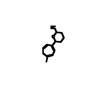 CC1=CC=C(C2CCCC(C#N)O2)C=CC1